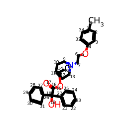 Cc1ccc(OCC[N+]23CCC(CC2)C(OC(=O)C(O)(c2ccccc2)c2ccccc2)C3)cc1